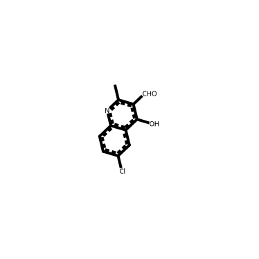 Cc1nc2ccc(Cl)cc2c(O)c1C=O